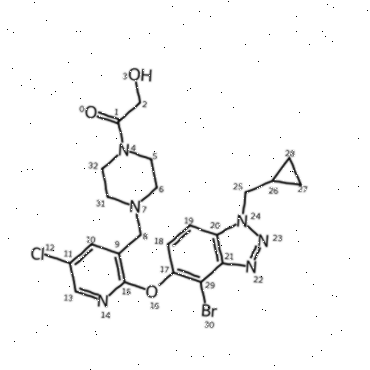 O=C(CO)N1CCN(Cc2cc(Cl)cnc2Oc2ccc3c(nnn3CC3CC3)c2Br)CC1